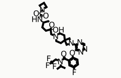 CC(C)N(CC(F)(F)F)C(=O)c1cc(F)ccc1Oc1nncnc1N1CC2(CCN(C[C@@]3(O)CC[C@@H](NS(=O)(=O)N4CCC4)CO3)CC2)C1